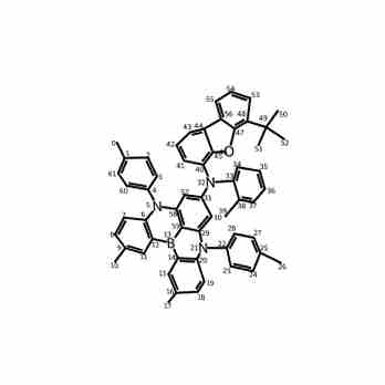 Cc1ccc(N2c3ccc(C)cc3B3c4cc(C)ccc4N(c4ccc(C)cc4)c4cc(N(c5ccccc5C)c5cccc6c5oc5c(C(C)(C)C)cccc56)cc2c43)cc1